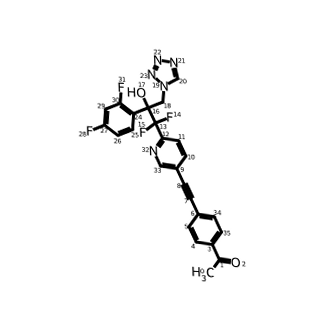 CC(=O)c1ccc(C#Cc2ccc(C(F)(F)C(O)(Cn3cnnn3)c3ccc(F)cc3F)nc2)cc1